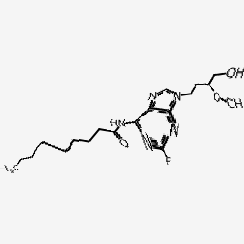 CCCCCCCCC(=O)Nc1nc(F)nc2c1ncn2CCC(CO)OC